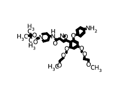 COCCOCOc1cc(OCOCCOC)c(-c2cc(C(=O)NC3CCN(C(=O)OC(C)(C)C)CC3)no2)c(Oc2ccc(N)cc2)c1